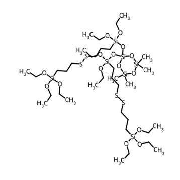 CCO[Si](CCCSSCCC[Si](OCC)(OCC)O[Si]1(O[Si](CCCSSCCC[Si](OCC)(OCC)OCC)(OCC)OCC)O[Si](C)(C)O[Si](C)(C)O1)(OCC)OCC